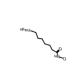 CCCCCCCCCCCC(=O)NCl